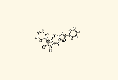 O=C1N/C(=C/c2ccc(-c3ccccc3)o2)C(=O)N1C1CCCCC1